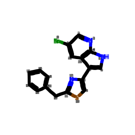 Brc1cnc2[nH]cc(-c3csc(Cc4ccccc4)n3)c2c1